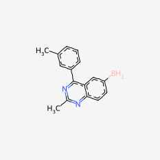 Bc1ccc2nc(C)nc(-c3cccc(C)c3)c2c1